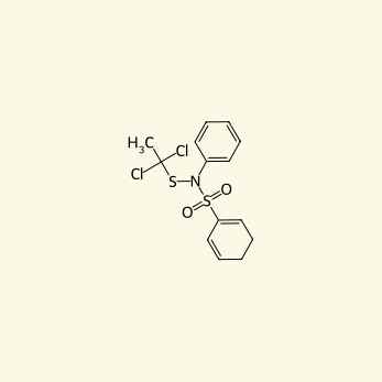 CC(Cl)(Cl)SN(c1ccccc1)S(=O)(=O)C1=CCCC=C1